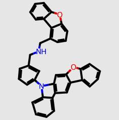 c1cc(CNCc2cccc3oc4ccccc4c23)cc(-n2c3ccccc3c3cc4c(cc32)oc2ccccc24)c1